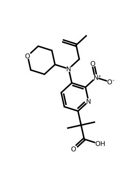 C=C(C)CN(c1ccc(C(C)(C)C(=O)O)nc1[N+](=O)[O-])C1CCOCC1